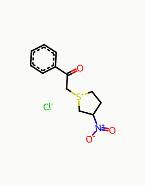 O=C(C[S+]1CCC([N+](=O)[O-])C1)c1ccccc1.[Cl-]